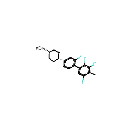 CCCCCCCCCC[C@H]1CC[C@H](c2ccc(-c3cc(F)c(C)c(F)c3F)c(F)c2)CC1